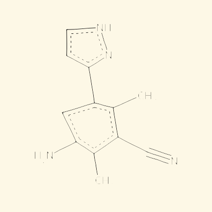 Cc1c(N)cc(-c2cc[nH]n2)c(C)c1C#N